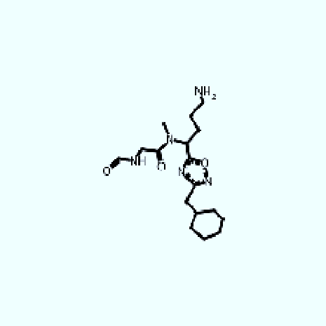 CN(C(=O)CNC=O)C(CCCN)c1nc(CC2CCCCC2)no1